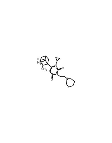 CC1CCC2CC1(c1cc(=O)n(CCN3CCCCC3)c(=O)n1C1CC1)C2(C)C